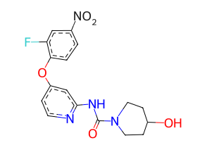 O=C(Nc1cc(Oc2ccc([N+](=O)[O-])cc2F)ccn1)N1CCC(O)CC1